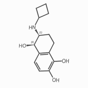 Oc1ccc2c(c1O)CC[C@H](NC1CCC1)[C@@H]2O